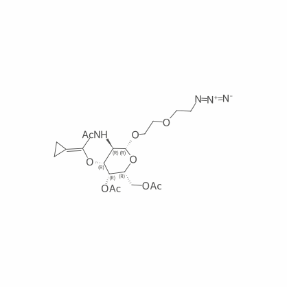 CC(=O)N[C@H]1[C@H](OCCOCCN=[N+]=[N-])O[C@H](COC(C)=O)[C@H](OC(C)=O)[C@@H]1OC(C)=C1CC1